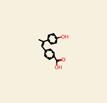 CC(=Cc1ccc(C(=O)O)cc1)c1ccc(O)cc1